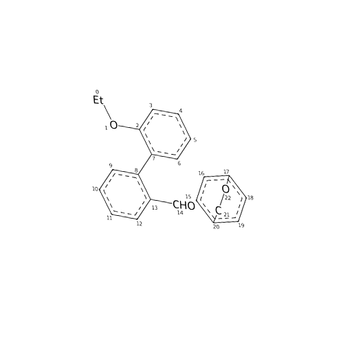 CCOc1ccccc1-c1ccccc1C=O.c1cc2ccc1CO2